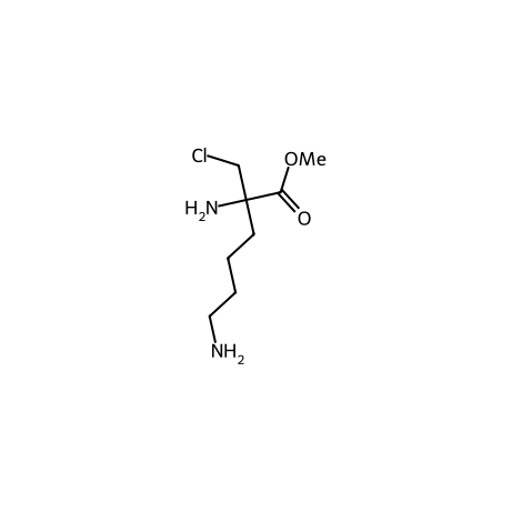 COC(=O)C(N)(CCl)CCCCN